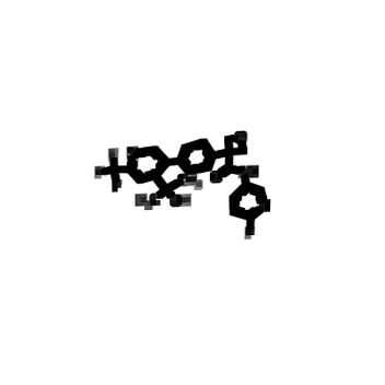 CC(C)(O)c1cc(C(F)(F)F)ncc1-c1ccc(C2(C(=O)Nc3ccc(F)nc3)COC2)cc1